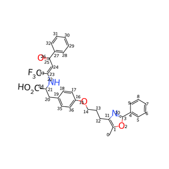 Cc1oc(-c2ccccc2)nc1CCCOc1ccc(C[C@H](N/C(=C/C(=O)c2ccccc2)C(F)(F)F)C(=O)O)cc1